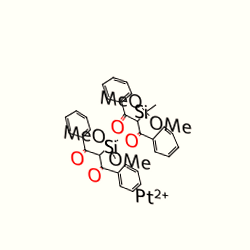 CO[Si](C)(OC)C(C(=O)c1ccccc1)C(=O)c1ccccc1.CO[Si](C)(OC)C(C(=O)c1ccccc1)C(=O)c1ccccc1.[Pt+2]